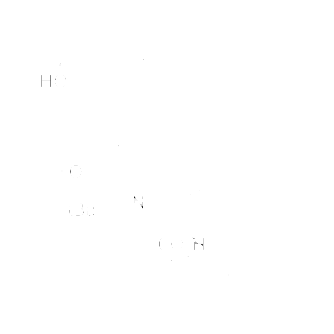 CC(C)(C)N(C(=O)O)[C@@]1(c2ccccc2)CCC[C@@H](O)C1=O